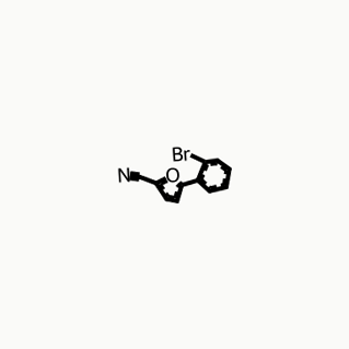 N#Cc1ccc(-c2ccccc2Br)o1